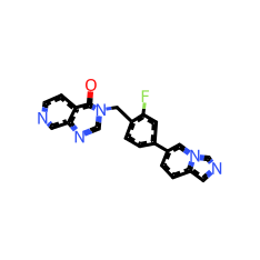 O=c1c2ccncc2ncn1Cc1ccc(-c2ccc3cncn3c2)cc1F